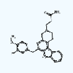 COc1ccc(Cc2nc3c(c4c2[nH]c2ccccc24)CCN(CCC(N)=O)C3)cc1F